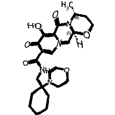 C[C@@H]1CCO[C@H]2Cn3cc(C(=O)NCC4(N5CCOCC5)CCCCC4)c(=O)c(O)c3C(=O)N12